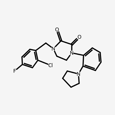 O=C1C(=O)N(c2ccccc2N2CCCC2)CCN1Cc1ccc(F)cc1Cl